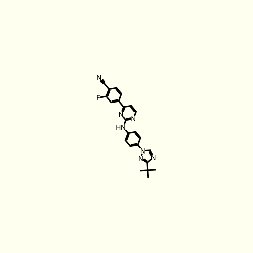 CC(C)(C)c1ncn(-c2ccc(Nc3nccc(-c4ccc(C#N)c(F)c4)n3)cc2)n1